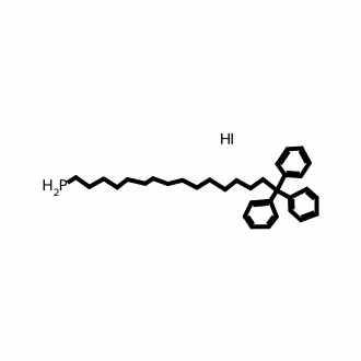 I.PCCCCCCCCCCCCCCCC(c1ccccc1)(c1ccccc1)c1ccccc1